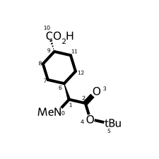 CNC(C(=O)OC(C)(C)C)[C@H]1CC[C@H](C(=O)O)CC1